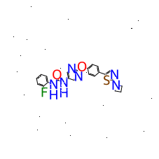 O=C(Nc1cnc(Oc2ccc(-c3cnc(N4CCC4)s3)cc2)nc1)Nc1ccccc1F